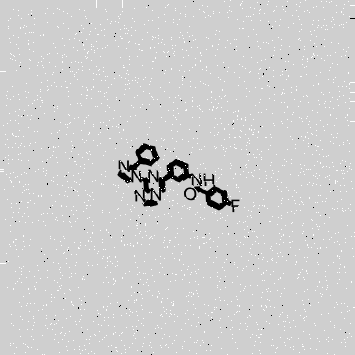 O=C(Nc1cccc(-c2cn3ccnc3c(-n3ccnc3-c3ccccc3)n2)c1)c1ccc(F)cc1